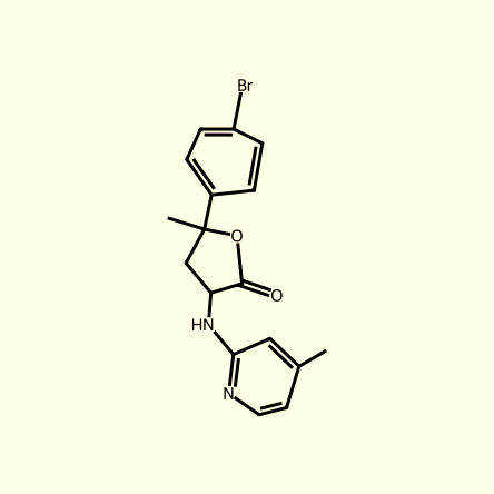 Cc1ccnc(NC2CC(C)(c3ccc(Br)cc3)OC2=O)c1